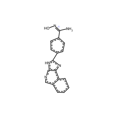 N/C(=N/O)c1ccc(-c2nc3c(ncc4ccccc43)[nH]2)cc1